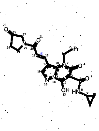 CC(C)Cn1c(=O)c(C(=O)NC2CC2)c(O)n2ncc(/C=C/C(=O)N3CCC(=O)C3)c12